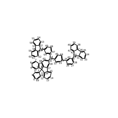 c1ccc(C2(c3ccccc3)c3ccccc3-c3cc(N(c4ccc(-c5cccc(-n6c7ccccc7c7ccccc76)c5)cc4)c4cccc(-n5c6ccccc6c6ccccc65)c4)ccc32)cc1